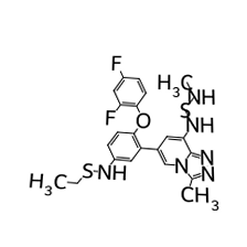 CCSNc1ccc(Oc2ccc(F)cc2F)c(-c2cc(NSNC)c3nnc(C)n3c2)c1